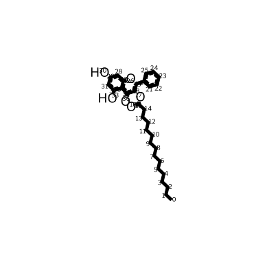 CCCCCCCCCCCCCCCC(=O)Oc1c(-c2ccccc2)oc2cc(O)cc(O)c2c1=O